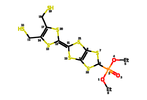 CCOP(=O)(OCC)C1SC2=C(SC(=C3SC(CS)=C(CS)S3)S2)S1